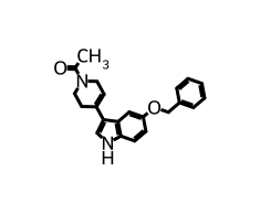 CC(=O)N1CC=C(c2c[nH]c3ccc(OCc4ccccc4)cc23)CC1